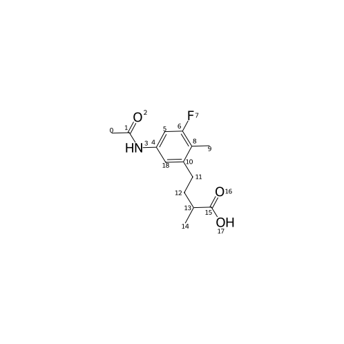 CC(=O)Nc1cc(F)c(C)c(CCC(C)C(=O)O)c1